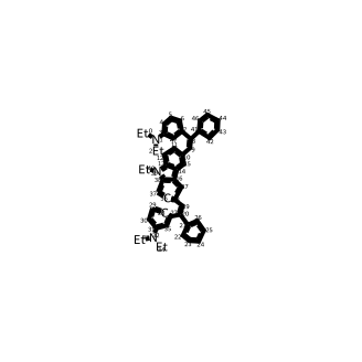 CCN(CC)c1cccc(/C(=C\c2ccc3c(c2)c2cc(/C=C(/c4ccccc4)c4cccc(N(CC)CC)c4)ccc2n3CC)c2ccccc2)c1